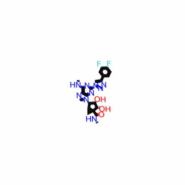 CNC(=O)C12CC1[C@@H](n1cnc3c(NC)nc(-n4cc(-c5ccc(F)c(F)c5)nn4)nc31)[C@H](O)[C@@H]2O